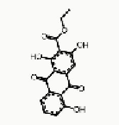 CCOC(=O)c1c(O)cc2c(c1O)C(=O)c1cccc(O)c1C2=O